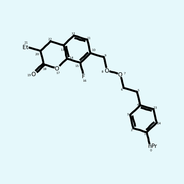 CCCc1ccc(CCOOCc2ccc3c(c2F)OC(=O)C(CC)C3)cc1